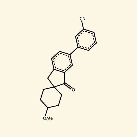 COC1CCC2(CC1)Cc1ccc(-c3cccc(C#N)c3)cc1C2=O